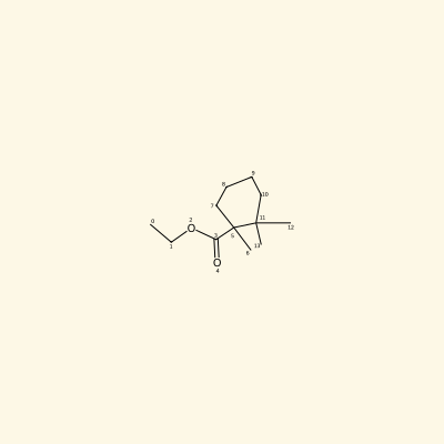 CCOC(=O)C1(C)CCCCC1(C)C